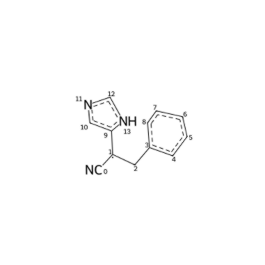 N#C[C](Cc1ccccc1)c1cnc[nH]1